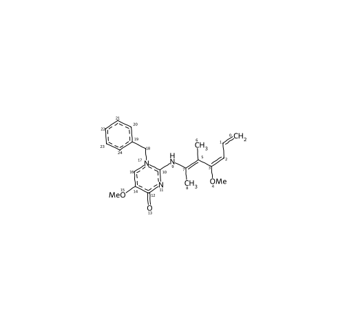 C=C/C=C(OC)\C(C)=C(/C)Nc1nc(=O)c(OC)cn1Cc1ccccc1